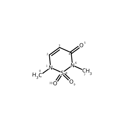 CN1C=CC(=O)N(C)S1(=O)=O